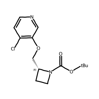 CC(C)(C)OC(=O)N1CC[C@@H]1COc1cnccc1Cl